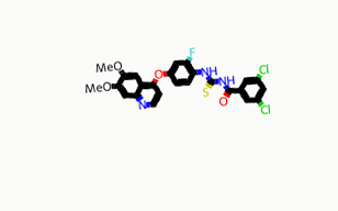 COc1cc2nccc(Oc3ccc(NC(=S)NC(=O)c4cc(Cl)cc(Cl)c4)c(F)c3)c2cc1OC